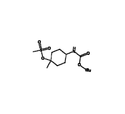 CC(C)(C)OC(=O)NC1CCC(C)(OS(C)(=O)=O)CC1